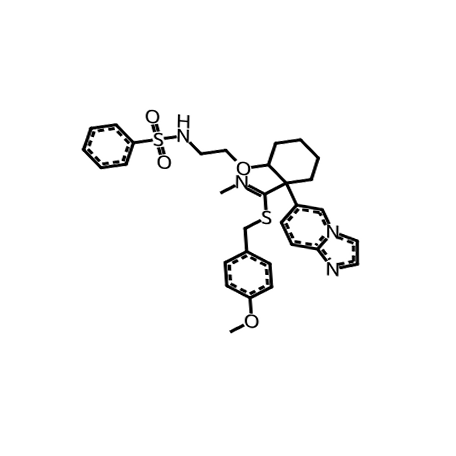 CN=C(SCc1ccc(OC)cc1)C1(c2ccc3nccn3c2)CCCCC1OCCNS(=O)(=O)c1ccccc1